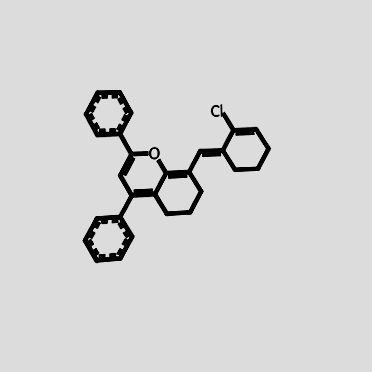 ClC1=CCCC/C1=C\C1=C2OC(c3ccccc3)=CC(c3ccccc3)=C2CCC1